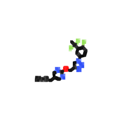 COCc1cnc(OCc2cn(-c3ccc(F)c(C(C)(F)F)c3)nn2)nc1